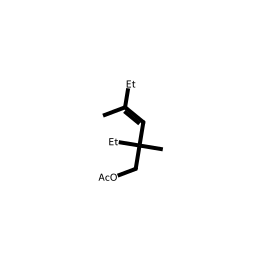 CCC(C)=CC(C)(CC)COC(C)=O